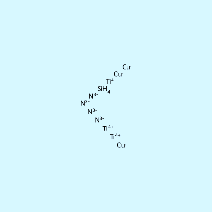 [Cu].[Cu].[Cu].[N-3].[N-3].[N-3].[N-3].[SiH4].[Ti+4].[Ti+4].[Ti+4]